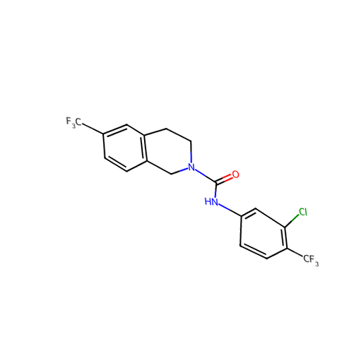 O=C(Nc1ccc(C(F)(F)F)c(Cl)c1)N1CCc2cc(C(F)(F)F)ccc2C1